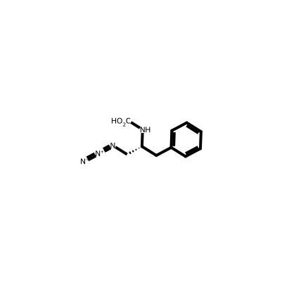 [N-]=[N+]=NC[C@@H](Cc1ccccc1)NC(=O)O